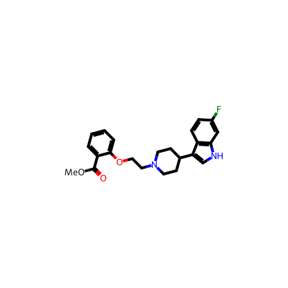 COC(=O)c1ccccc1OCCN1CCC(c2c[nH]c3cc(F)ccc23)CC1